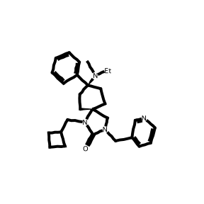 CCN(C)[C@]1(c2ccccc2)CC[C@@]2(CC1)CN(Cc1cccnc1)C(=O)N2CC1CCC1